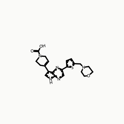 O=C(O)N1CC=C(c2c[nH]c3ncc(-c4ccc(CN5CCOCC5)s4)nc23)CC1